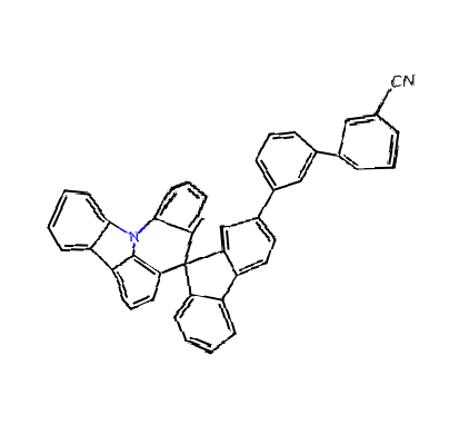 N#Cc1cccc(-c2cccc(-c3ccc4c(c3)C3(c5ccccc5-4)c4ccccc4-n4c5ccccc5c5cccc3c54)c2)c1